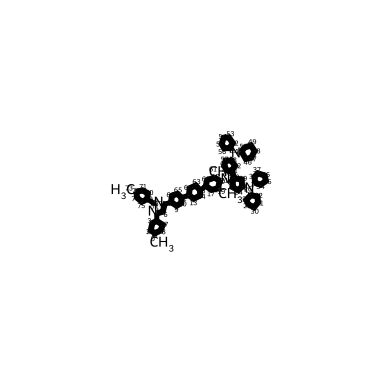 Cc1ccc(-c2cc(-c3ccc(-c4ccc(-c5cc(C)c(-n6c7ccc(N(c8ccccc8)c8ccccc8)cc7c7cc(N(c8ccccc8)c8ccccc8)ccc76)c(C)c5)cc4)cc3)nc(-c3ccc(C)cc3)n2)cc1